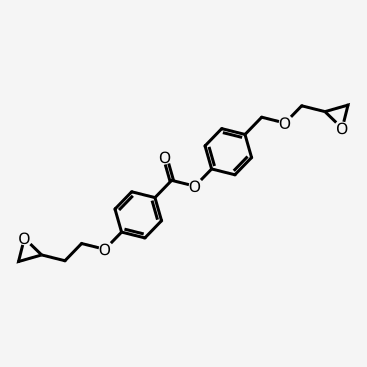 O=C(Oc1ccc(COCC2CO2)cc1)c1ccc(OCCC2CO2)cc1